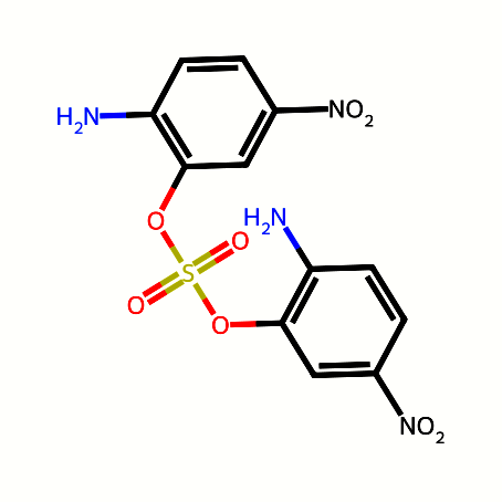 Nc1ccc([N+](=O)[O-])cc1OS(=O)(=O)Oc1cc([N+](=O)[O-])ccc1N